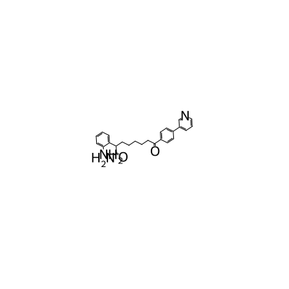 NC(=O)C(CCCCCC(=O)c1ccc(-c2cccnc2)cc1)c1ccccc1N